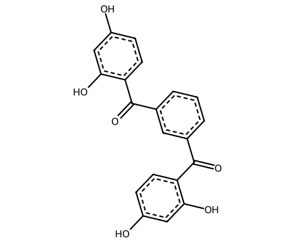 O=C(c1cccc(C(=O)c2ccc(O)cc2O)c1)c1ccc(O)cc1O